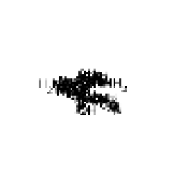 CC(C)(O)COCC(NC(=O)OCc1ccc(NC(=O)Cc2ccc(F)cc2)cc1)C(=O)O[C@H]1[C@@H](O)[C@H](n2cnc3c(N)ncnc32)O[C@@H]1COP(=O)(O)O[C@H]1[C@@H](O)[C@H](n2ccc(N)nc2=O)O[C@@H]1COP(=O)(O)O